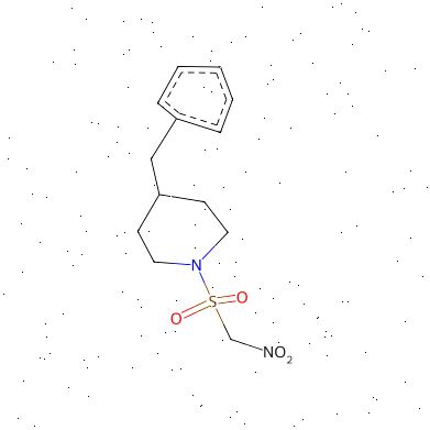 O=[N+]([O-])CS(=O)(=O)N1CCC(Cc2ccccc2)CC1